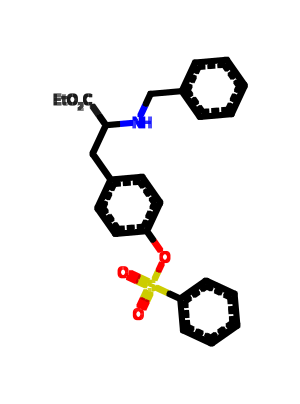 CCOC(=O)C(Cc1ccc(OS(=O)(=O)c2ccccc2)cc1)NCc1ccccc1